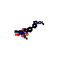 CNC(=O)[C@@](C)(C(=O)NO)N(C)C(=O)c1ccc(-c2ccc3c(c2)CCN3C)cc1